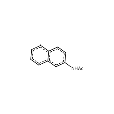 CC(=O)Nc1ccc2[c]cccc2c1